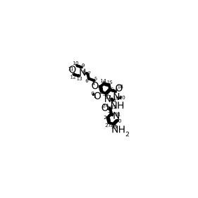 COc1c(OCCCN2CCOCC2)ccc2c(=O)n(C)c(NC(=O)c3ccc(N)cn3)nc12